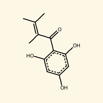 CC(C)=C(C)C(=O)c1c(O)cc(O)cc1O